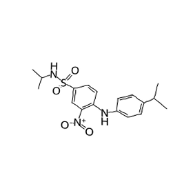 CC(C)NS(=O)(=O)c1ccc(Nc2ccc(C(C)C)cc2)c([N+](=O)[O-])c1